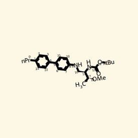 CCCc1ccc(-c2ccc(NC[C@@H](NC(=O)OC(C)(C)C)[C@@H](C)OC)cc2)cc1